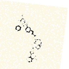 CCCOC(=O)[C@H](C)N[P@@](=O)(Oc1ccccc1)[C@@H](F)c1ccc2sc(C(=O)N[C@H]3CCC[C@H]4CC[C@@H](C(=O)N5CC(c6cnccc6N(C)C)C5)N4C3=O)cc2c1